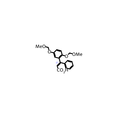 COCOc1ccc(OCOC)c(/C(=C/C(=O)O)c2ccccc2)c1